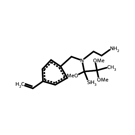 C=Cc1ccc(CN(CCN)C([SiH3])(OC)C(C)(OC)OC)cc1